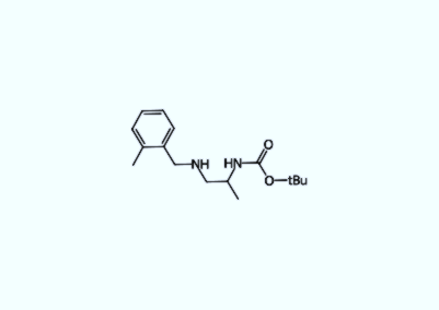 Cc1ccccc1CNCC(C)NC(=O)OC(C)(C)C